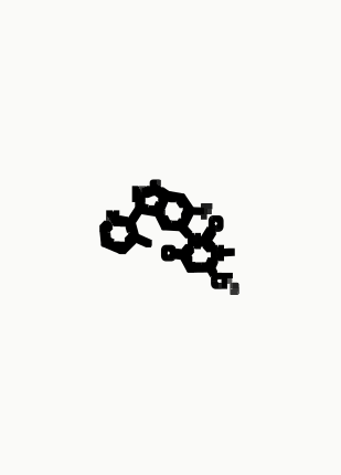 Cc1cccnc1-c1nsc2cc(F)c(-n3c(=O)cc(C(F)(F)F)n(C)c3=O)cc12